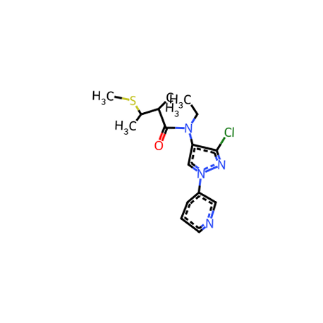 CCN(C(=O)C(C)C(C)SC)c1cn(-c2cccnc2)nc1Cl